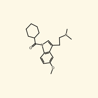 COc1ccc2c(c1)c(CCN(C)C)cn2C(=O)C1CCCCC1